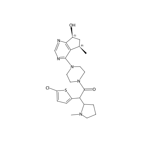 C[C@@H]1C[C@H](O)c2ncnc(N3CCN(C(=O)C(c4ccc(Cl)s4)C4CCCN4C)CC3)c21